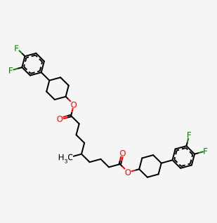 CC(CCCC(=O)OC1CCC(c2ccc(F)c(F)c2)CC1)CCCC(=O)OC1CCC(c2ccc(F)c(F)c2)CC1